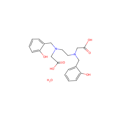 O.O=C(O)CN(CCN(CC(=O)O)Cc1ccccc1O)Cc1ccccc1O